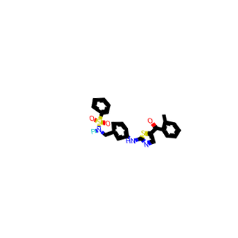 Cc1ccccc1C(=O)c1cnc(Nc2cccc(CN(F)S(=O)(=O)c3ccccc3)c2)s1